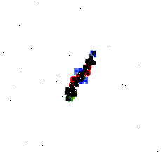 N#C[C@H]1C[C@@H](OCC(=O)NC23CC(NC(=O)COc4ccc(Cl)c(F)c4)(C2)C3)C1